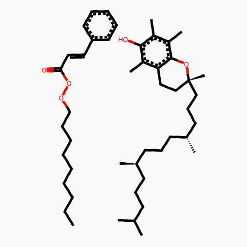 CCCCCCCCCOOC(=O)C=Cc1ccccc1.Cc1c(C)c2c(c(C)c1O)CC[C@@](C)(CCC[C@H](C)CCC[C@H](C)CCCC(C)C)O2